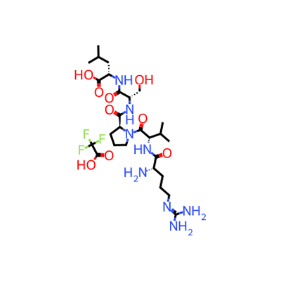 CC(C)C[C@H](NC(=O)[C@H](CO)NC(=O)[C@@H]1CCCN1C(=O)[C@@H](NC(=O)[C@@H](N)CCCN=C(N)N)C(C)C)C(=O)O.O=C(O)C(F)(F)F